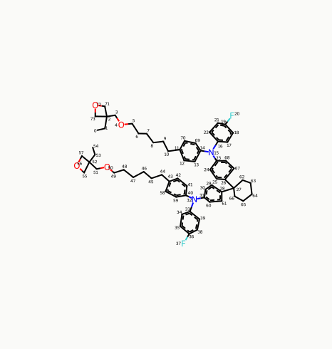 CCC1(COCCCCCCc2ccc(N(c3ccc(F)cc3)c3ccc(C4(c5ccc(N(c6ccc(F)cc6)c6ccc(CCCCCCOCC7(CC)COC7)cc6)cc5)CCCCC4)cc3)cc2)COC1